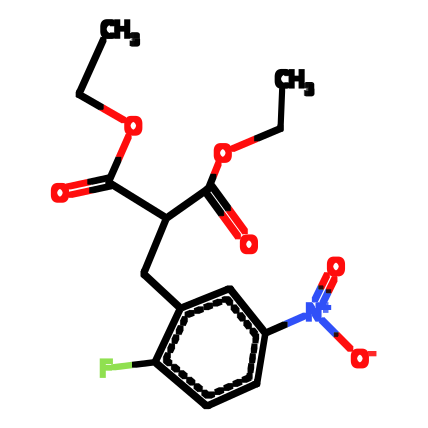 CCOC(=O)C(Cc1cc([N+](=O)[O-])ccc1F)C(=O)OCC